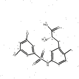 Cc1ccc(NS(=O)(=O)c2cc(Cl)cc(Cl)c2)cc1C[C@H](N)C(=O)O